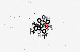 C[Si](C)(C)OC(c1ccccc1)(c1ccccc1C1CCC(C(O)(c2cc(C(F)(F)F)cc(C(F)(F)F)c2)c2cc(C(F)(F)F)cc(C(F)(F)F)c2)N1)C1CCCN1